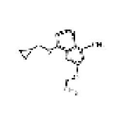 CCOc1cc(C)c2cccc(SCC3CC3)c2n1